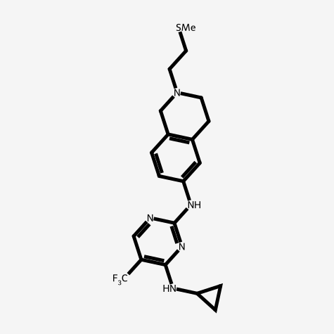 CSCCN1CCc2cc(Nc3ncc(C(F)(F)F)c(NC4CC4)n3)ccc2C1